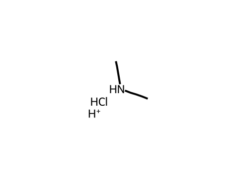 CNC.Cl.[H+]